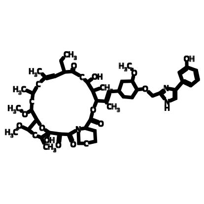 CCC1/C=C(\C)CC(C)CC(OC)C2OC(O)(C(=O)C(=O)N3CCCCC3C(=O)OC(C(C)=CC3CCC(OCc4nc(-c5cccc(O)c5)c[nH]4)C(OC)C3)C(C)C(O)CC1=O)C(C)CC2OC